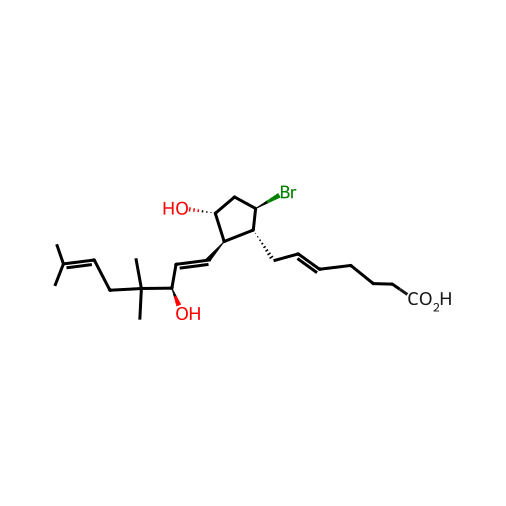 CC(C)=CCC(C)(C)[C@H](O)C=C[C@@H]1[C@@H](CC=CCCCC(=O)O)[C@H](Br)C[C@H]1O